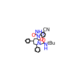 CC(C)(C)NC(=O)CN1C(=O)C(N(C(N)=O)c2cccc(C#N)c2)CC(c2ccccc2)CC1c1ccccc1